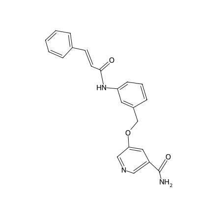 NC(=O)c1cncc(OCc2cccc(NC(=O)/C=C/c3ccccc3)c2)c1